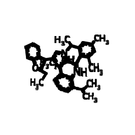 CCc1oc2ccccc2c1-c1cn2c(n1)C(Nc1c(C(C)C)cccc1C(C)C)c1c(C)cc(C)cc1C2C